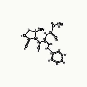 CC(C)C1COC(=O)N1C(=O)[C@H](CCc1ccccc1)CC(=O)OC(C)(C)C